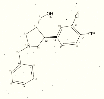 OC[C@H]1CN(Cc2ccccc2)C[C@@H]1c1ccc(Cl)c(Cl)c1